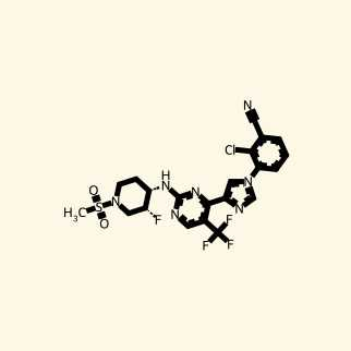 CS(=O)(=O)N1CC[C@H](Nc2ncc(C(F)(F)F)c(-c3cn(-c4cccc(C#N)c4Cl)cn3)n2)[C@H](F)C1